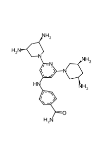 NC(=O)c1ccc(Nc2cc(N3C[C@H](N)C[C@H](N)C3)nc(N3C[C@H](N)C[C@H](N)C3)c2)cc1